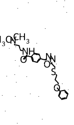 CN(C)CCCNC(=O)c1ccc(-c2nnc(CSCCCOc3ccccc3)o2)cc1